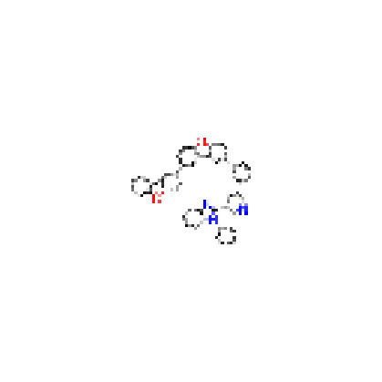 c1ccc(-n2c(-c3cncc(-c4cccc(-c5ccc6oc7ccc(-c8ccc9oc%10ccccc%10c9c8)cc7c6c5)c4)c3)nc3ccccc32)cc1